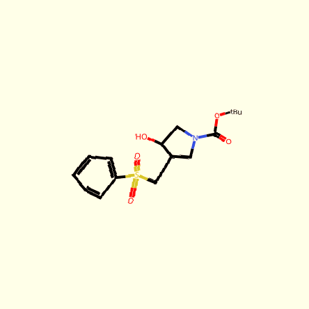 CC(C)(C)OC(=O)N1CC(O)C(CS(=O)(=O)c2ccccc2)C1